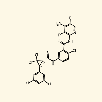 Nc1c(F)cnc(NC(=O)c2cc(NC(=O)[C@@H]3[C@@H](c4cc(Cl)cc(Cl)c4)C3(Cl)Cl)ccc2Cl)c1F